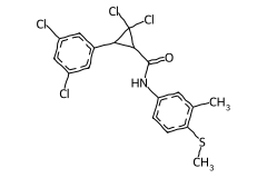 CSc1ccc(NC(=O)C2C(c3cc(Cl)cc(Cl)c3)C2(Cl)Cl)cc1C